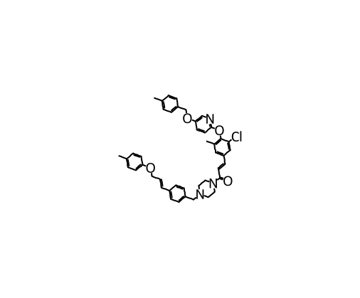 Cc1ccc(COc2ccc(Oc3c(C)cc(C=CC(=O)N4CCN(Cc5ccc(C=CCOc6ccc(C)cc6)cc5)CC4)cc3Cl)nc2)cc1